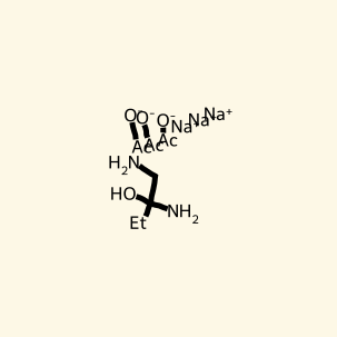 CC(=O)[O-].CC(=O)[O-].CC(=O)[O-].CCC(N)(O)CN.[Na+].[Na+].[Na+]